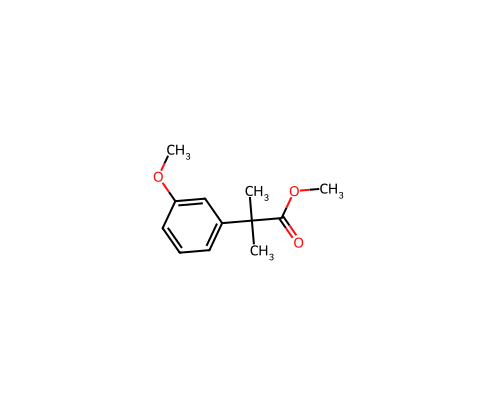 COC(=O)C(C)(C)c1cccc(OC)c1